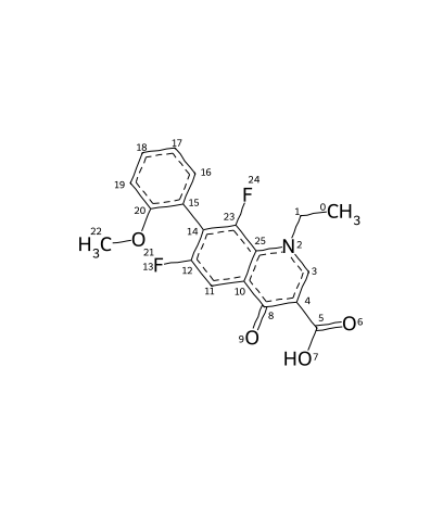 CCn1cc(C(=O)O)c(=O)c2cc(F)c(-c3ccccc3OC)c(F)c21